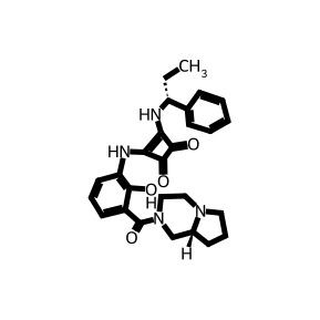 CC[C@@H](Nc1c(Nc2cccc(C(=O)N3CCN4CCC[C@@H]4C3)c2O)c(=O)c1=O)c1ccccc1